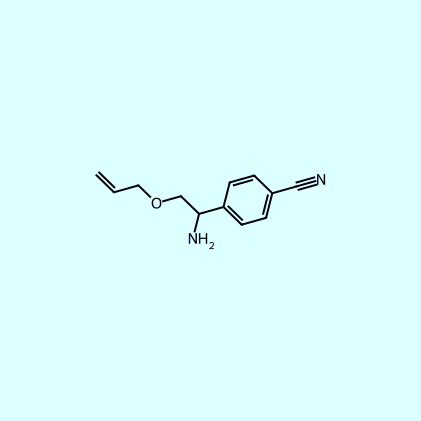 C=CCOCC(N)c1ccc(C#N)cc1